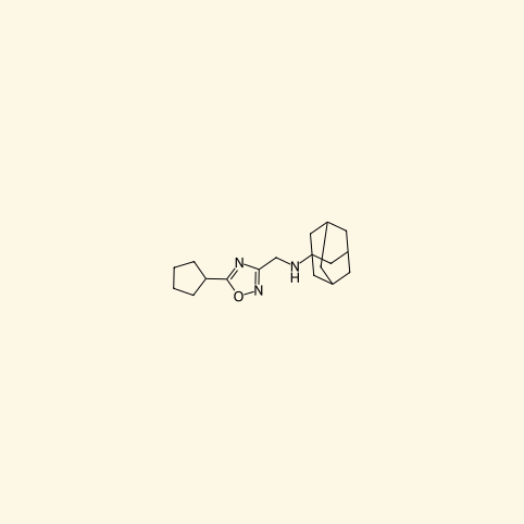 C1CCC(c2nc(CNC34CC5CC(CC(C5)C3)C4)no2)C1